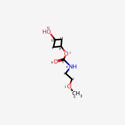 COCCNC(=O)OC1CC(O)C1